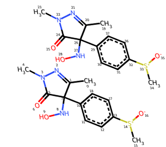 CC1=NN(C)C(=O)C1(NO)c1ccc([S+](C)[O-])cc1.CC1=NN(C)C(=O)C1(NO)c1ccc([S+](C)[O-])cc1